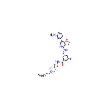 COCCN1CCC2(CC1)CC(NC(=O)c1cc(F)cc(CNc3ncc(-c4ccnc(N)n4)c4c3CCO4)c1)C2